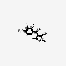 Cc1nn(C)c(O)c1C(=O)c1ccc(C(F)(F)F)c(F)c1Cl